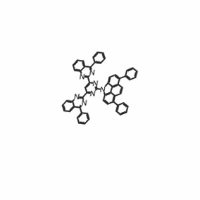 c1ccc(-c2nc(-c3cc(-c4nc(-c5ccccc5)c5ccccc5n4)nc(-n4c5ccc(-c6ccccc6)c6ccc7c(-c8ccccc8)ccc4c7c65)n3)nc3ccccc23)cc1